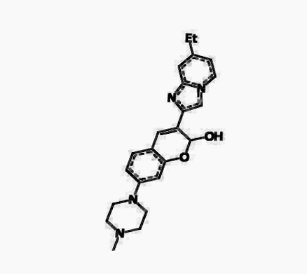 CCc1ccn2cc(C3=Cc4ccc(N5CCN(C)CC5)cc4OC3O)nc2c1